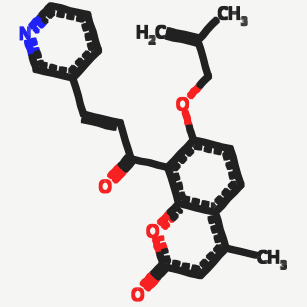 C=C(C)COc1ccc2c(C)cc(=O)oc2c1C(=O)C=Cc1cccnc1